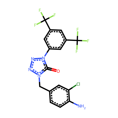 Nc1ccc(Cn2nnn(-c3cc(C(F)(F)F)cc(C(F)(F)F)c3)c2=O)cc1Cl